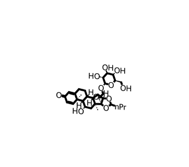 CCCC1O[C@@H]2C[C@H]3[C@@H]4CCC5=CC(=O)C=C[C@]5(C)[C@H]4[C@@H](O)C[C@]3(C)[C@]2(C(=O)CO[C@@H]2O[C@H](CO)[C@@H](O)[C@H](O)[C@H]2O)O1